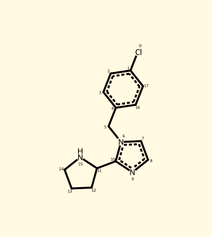 Clc1ccc(Cn2ccnc2C2CCCN2)cc1